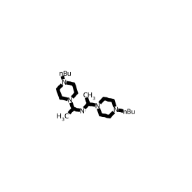 CCCCN1CCN(C(C)[N]C(C)N2CCN(CCCC)CC2)CC1